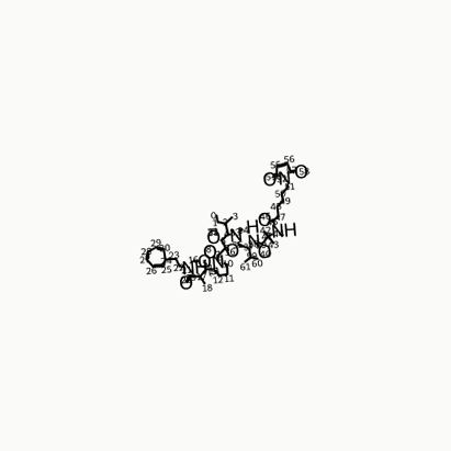 CCC(C)C(C(CC(=O)N1CCC[C@H]1C(OC)C(C)C(=O)NCCC1C=CC=CC=C1)OC)N(C)C(=O)C(NC(=O)C(C)(C)NC(=O)CCCCCN1C(=O)C=CC1=O)C(C)C